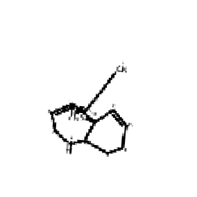 N#CC1=NC2=CCNC3CCC=CC23S1